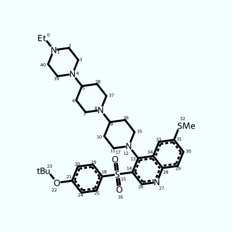 CCN1CCN(C2CCN(C3CCN(c4c(S(=O)(=O)c5ccc(OC(C)(C)C)cc5)cnc5ccc(SC)cc45)CC3)CC2)CC1